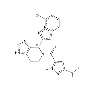 CC(F)c1cc(C(=O)N2CCc3[nH]cnc3[C@@H]2c2cc3cccc(Cl)n3n2)n(C)n1